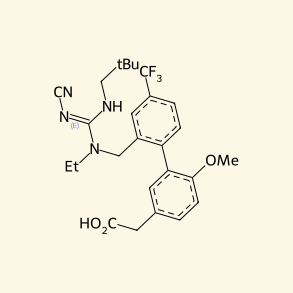 CCN(Cc1cc(C(F)(F)F)ccc1-c1cc(CC(=O)O)ccc1OC)/C(=N/C#N)NCC(C)(C)C